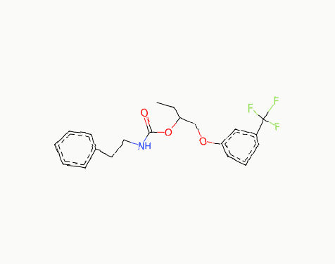 CCC(COc1cccc(C(F)(F)F)c1)OC(=O)NCCc1ccccc1